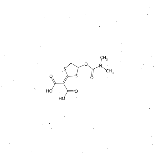 CN(C)C(=O)OC1CSC(=C(C(=O)O)C(=O)O)S1